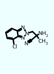 CC(N)(C#N)Cn1nc2cccc(Cl)c2n1